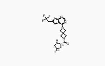 O=C([C@@H]1C[C@@H](F)CN1)N1CC2(C1)CN(c1ncnc3sc(CC(F)(F)F)cc13)C2